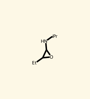 CCC1OC1NC(C)C